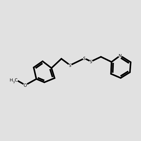 COc1ccc(CSSSCc2ccccn2)cc1